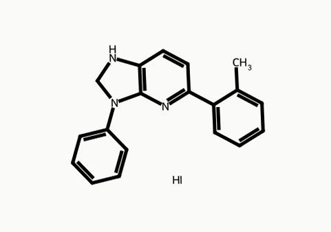 Cc1ccccc1-c1ccc2c(n1)N(c1ccccc1)CN2.I